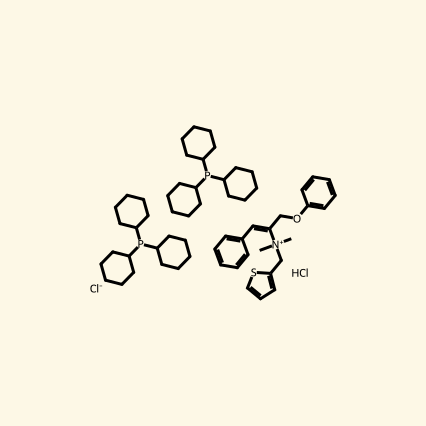 C1CCC(P(C2CCCCC2)C2CCCCC2)CC1.C1CCC(P(C2CCCCC2)C2CCCCC2)CC1.C[N+](C)(Cc1cccs1)C(=Cc1ccccc1)COc1ccccc1.Cl.[Cl-]